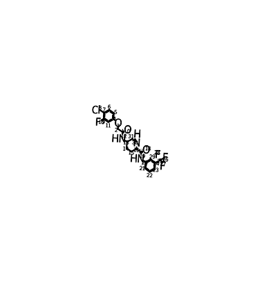 O=C(COc1ccc(Cl)c(F)c1)NC1CCC(C(=O)Nc2cccc(C(F)(F)F)c2)NC1